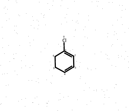 ClC1=C[C]=CCC1